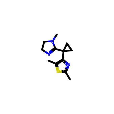 Cc1nc(C2(C3=NCCN3C)CC2)c(C)s1